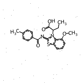 CCC(C(=O)O)n1c(=NC(=O)c2ccc(C)cc2)sc2cccc(OC)c21